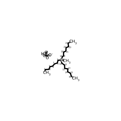 CCCCCCCC[P+](C)(CCCCCCCC)CCCCCCCC.O=S(=O)([O-])[O-].[H+]